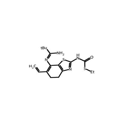 C=CC1=C(/N=C(\N)C(C)(C)C)c2sc(NC(=O)SCC)nc2CC1